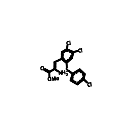 COC(=O)/C(N)=C/c1cc(Cl)c(Cl)cc1Sc1ccc(Cl)cc1